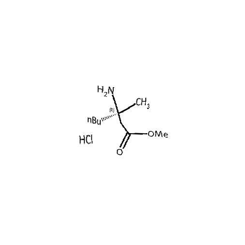 CCCC[C@@](C)(N)C(=O)OC.Cl